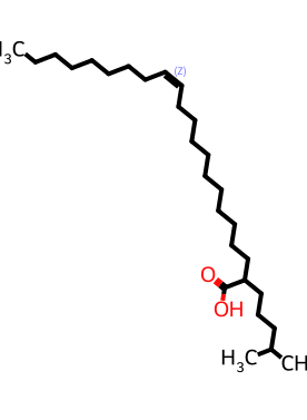 CCCCCCCC/C=C\CCCCCCCCCCC(CCCC(C)C)C(=O)O